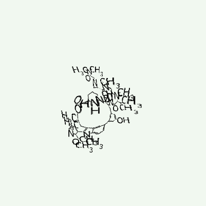 CCn1c(-c2cccnc2[C@H](C)OC)c2c3cc(ccc31)-c1cc(O)cc(c1)C[C@H](NC(=O)[C@H](C(C)C)N(C)C(=O)CN(C)C(=O)[C@@H]1CN1CC(=O)N(C)C)C(=O)N1CCC[C@H](N1)C(=O)OCC(C)(C)C2